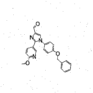 COc1ccc(-c2nc(C=O)cn2-c2ccc(OCc3ccccc3)cc2)cn1